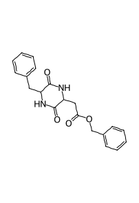 O=C(CC1NC(=O)C(Cc2ccccc2)NC1=O)OCc1ccccc1